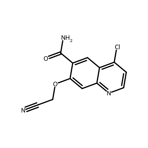 N#CCOc1cc2nccc(Cl)c2cc1C(N)=O